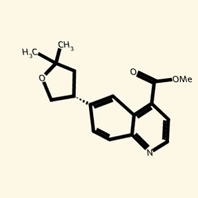 COC(=O)c1ccnc2ccc([C@@H]3COC(C)(C)C3)cc12